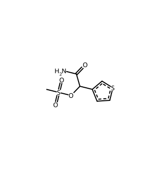 CS(=O)(=O)OC(C(N)=O)c1ccsc1